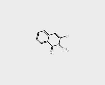 Cn1c(Cl)cc2ccccc2c1=O